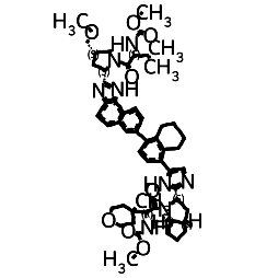 COC[C@H]1C[C@@H](c2nc3ccc4cc(-c5ccc(-c6cnc([C@@H]7C[C@@H]8CCC[C@@H]8N7C(=O)[C@H](NC(=O)OC)C7(C)CCOCC7)[nH]6)c6c5CCCC6)ccc4c3[nH]2)N(C(=O)[C@@H](NC(=O)OC)C(C)C)C1